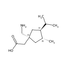 CC(C)[C@@H]1C[C@](CN)(CC(=O)O)C[C@H]1C